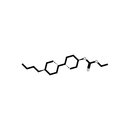 CCCC[C@H]1CC[C@H]([C@H]2CC[C@H](OC(=O)OCC)CC2)CC1